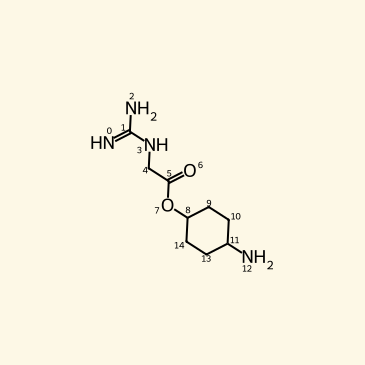 N=C(N)NCC(=O)OC1CCC(N)CC1